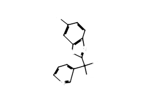 CC(C)C(O)(c1cccnc1)c1nc2ccc(Br)cc2s1